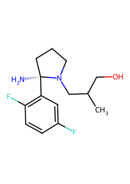 C[C](CO)CN1CCC[C@]1(N)c1cc(F)ccc1F